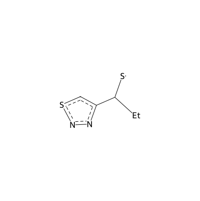 CCC([S])c1csnn1